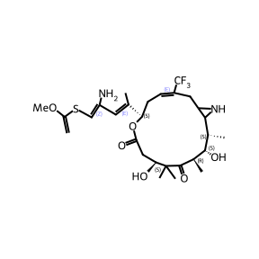 C=C(OC)S/C=C(N)/C=C(\C)[C@@H]1C/C=C(/C(F)(F)F)CC2NC2[C@H](C)[C@H](O)[C@@H](C)C(=O)C(C)(C)[C@@H](O)CC(=O)O1